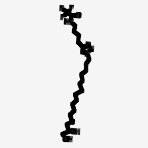 O=C(NCCCCc1cn(CCCCCCCCCCCCOCC(O)CO)nn1)C(F)(F)F